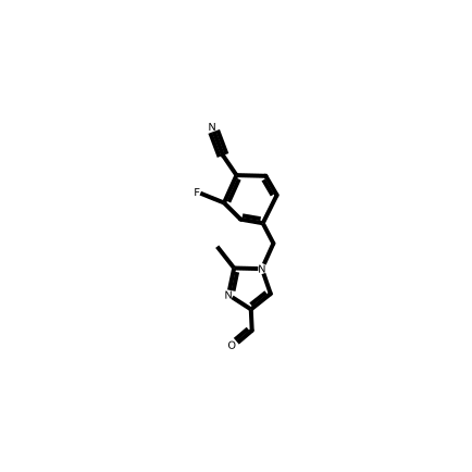 Cc1nc(C=O)cn1Cc1ccc(C#N)c(F)c1